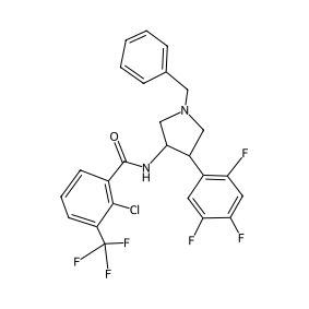 O=C(NC1CN(Cc2ccccc2)CC1c1cc(F)c(F)cc1F)c1cccc(C(F)(F)F)c1Cl